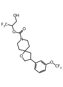 O=C(OC(CO)C(F)(F)F)N1CCC2(CC1)CC(c1cccc(OC(F)(F)F)c1)CO2